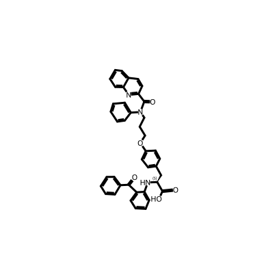 O=C(c1ccccc1)c1ccccc1N[C@@H](Cc1ccc(OCCCN(C(=O)c2ccc3ccccc3n2)c2ccccc2)cc1)C(=O)O